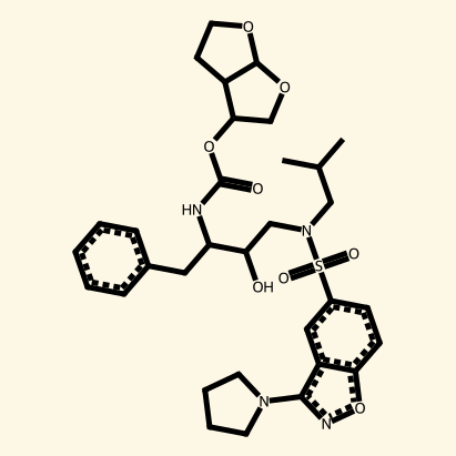 CC(C)CN(CC(O)C(Cc1ccccc1)NC(=O)OC1COC2OCCC12)S(=O)(=O)c1ccc2onc(N3CCCC3)c2c1